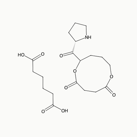 O=C(O)CCCCC(=O)O.O=C1CCC(=O)OC(C(=O)[C@@H]2CCCN2)CCCO1